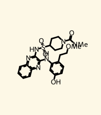 CNC(=O)N1CCC(S(=O)(=O)Nc2nc3ccccc3nc2Nc2cc(O)ccc2CCOC)CC1